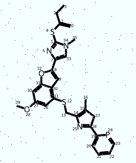 C=C(CC)Sc1nc(-c2cc3c(SCC4=C(C)CC(c5ccccp5)=N4)cc(OC)cc3o2)cn1C